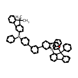 CC1(C)c2ccccc2-c2cc(N(c3ccccc3)c3ccc(-c4cccc(-c5ccc6c7ccccc7n(-c7cccc8c7C(c7ccccc7)(c7ccccc7)c7ccccc7-8)c6c5)c4)cc3)ccc21